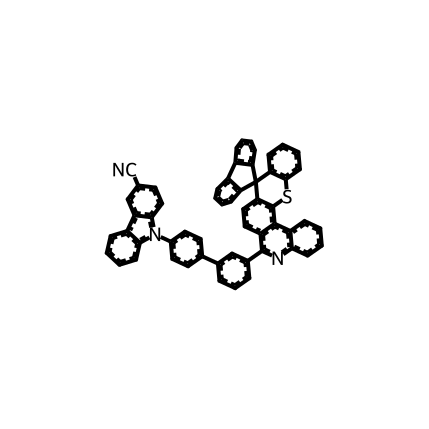 N#Cc1ccc2c(c1)c1ccccc1n2-c1ccc(-c2cccc(-c3nc4ccccc4c4c5c(ccc34)C3(c4ccccc4S5)c4ccccc4-c4ccccc43)c2)cc1